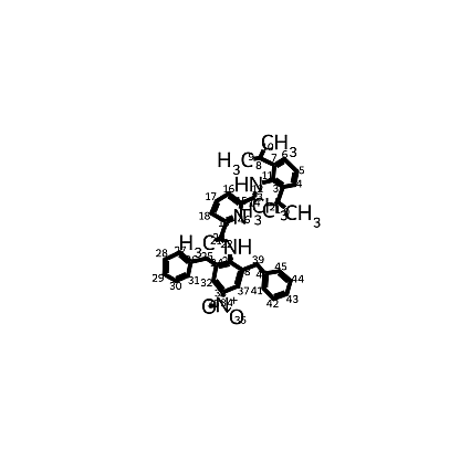 CC(C)c1cccc(C(C)C)c1NC(C)c1cccc(C(C)Nc2c(Cc3ccccc3)cc([N+](=O)[O-])cc2Cc2ccccc2)n1